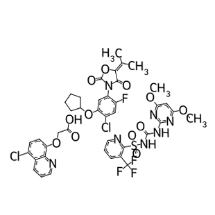 CC(C)=C1OC(=O)N(c2cc(OC3CCCC3)c(Cl)cc2F)C1=O.COc1cc(OC)nc(NC(=O)NS(=O)(=O)c2ncccc2C(F)(F)F)n1.O=C(O)COc1ccc(Cl)c2cccnc12